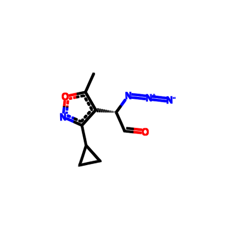 Cc1onc(C2CC2)c1[C@@H](C=O)N=[N+]=[N-]